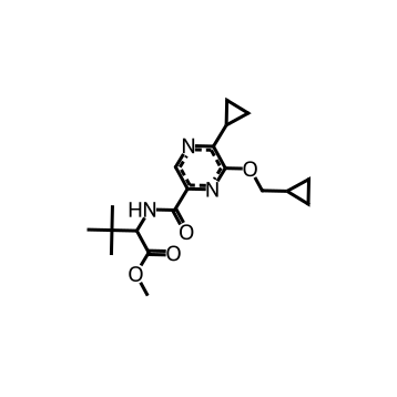 COC(=O)C(NC(=O)c1cnc(C2CC2)c(OCC2CC2)n1)C(C)(C)C